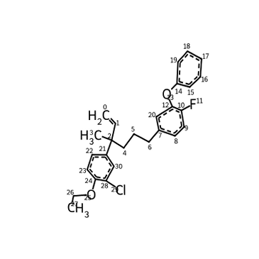 C=CC(C)(CCCc1ccc(F)c(Oc2ccccc2)c1)c1ccc(OCC)c(Cl)c1